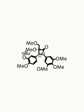 CCCCOc1cc([C@@H]2N(c3cc(OC)c(OC)c(OC)c3)C(=O)[C@@]2(COC)OC)ccc1OC